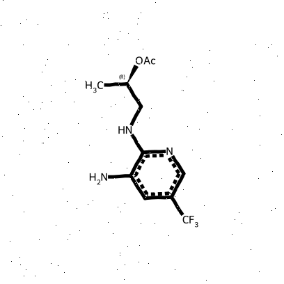 CC(=O)O[C@H](C)CNc1ncc(C(F)(F)F)cc1N